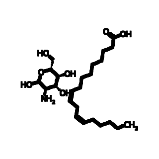 CCCCC/C=C\C/C=C\CCCCCCCC(=O)O.N[C@H]1C(O)O[C@H](CO)[C@@H](O)[C@@H]1O